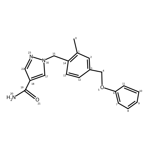 Cc1cc(COc2ccccc2)ccc1Cn1cc(C(N)=O)cn1